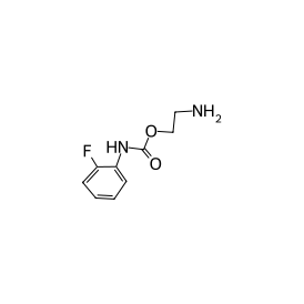 NCCOC(=O)Nc1ccccc1F